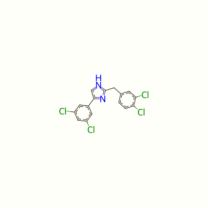 Clc1cc(Cl)cc(-c2c[nH]c(Cc3ccc(Cl)c(Cl)c3)n2)c1